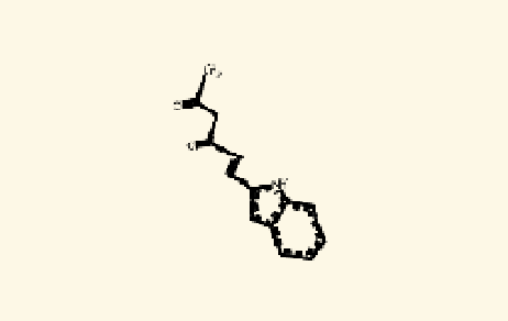 CC(=O)CC(=O)C=Cc1cc2ccccc2[nH]1